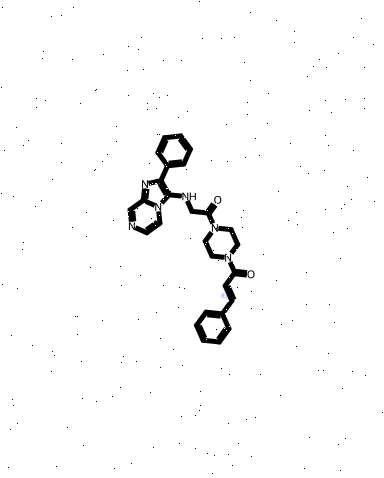 O=C(/C=C/c1ccccc1)N1CCN(C(=O)CNc2c(-c3ccccc3)nc3cnccn23)CC1